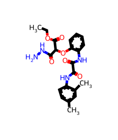 CCOC(=O)C(Oc1ccccc1NC(=O)C(=O)Nc1ccc(C)cc1C)C(=O)NN